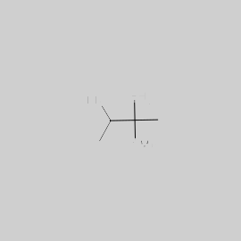 BC(C)C(B)(C)SC